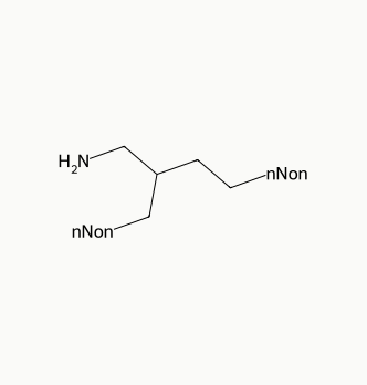 CCCCCCCCCCCC(CN)CCCCCCCCCC